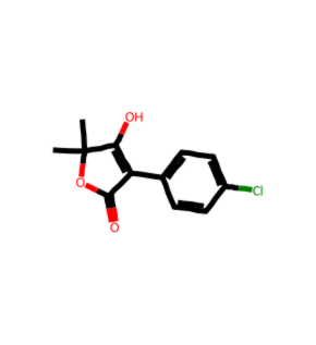 CC1(C)OC(=O)C(c2ccc(Cl)cc2)=C1O